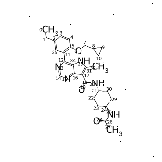 CCc1ccc(OCC2CC2)c(-c2ncnc3c(C(=O)N[C@H]4CC[C@H](NC(C)=O)CC4)c(C)[nH]c23)c1